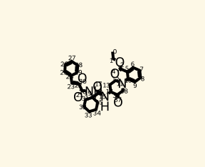 CCOC(=O)c1ccccc1N1CCC(NC(=O)C2(NC(=O)c3cc4ccccc4o3)CCCCC2)C(=O)C1